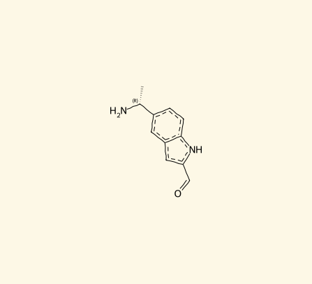 C[C@@H](N)c1ccc2[nH]c(C=O)cc2c1